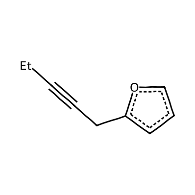 CCC#CCc1ccco1